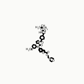 COC1CCC([C@@H]2CCN(C(=O)C3CCC([C@@H](CF)NC(=O)OC(C)(C)C)CC3)[C@H]2C(=O)Nc2ccc3oc(C(=O)OCCN4CCOCC4)cc3c2)CC1